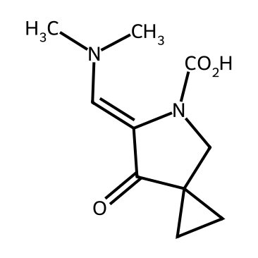 CN(C)C=C1C(=O)C2(CC2)CN1C(=O)O